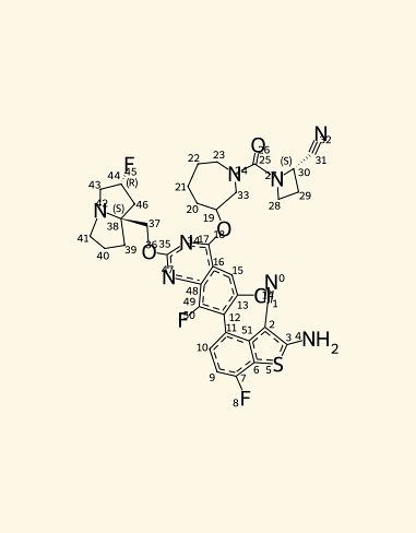 N#Cc1c(N)sc2c(F)ccc(-c3c(Cl)cc4c(OC5CCCCN(C(=O)N6CC[C@H]6C#N)C5)nc(OC[C@@]56CCCN5C[C@H](F)C6)nc4c3F)c12